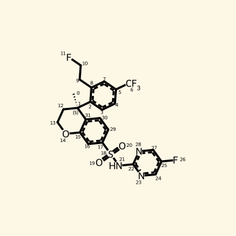 C[C@@]1(c2ccc(C(F)(F)F)cc2CCF)CCOc2cc(S(=O)(=O)Nc3ncc(F)cn3)ccc21